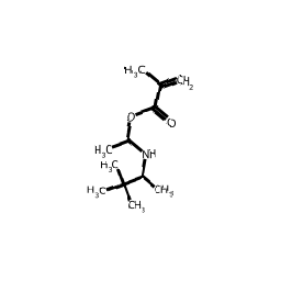 C=C(C)C(=O)OC(C)NC(C)C(C)(C)C